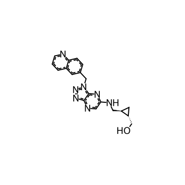 OC[C@H]1C[C@@H]1CNc1cnc2nnn(Cc3ccc4ncccc4c3)c2n1